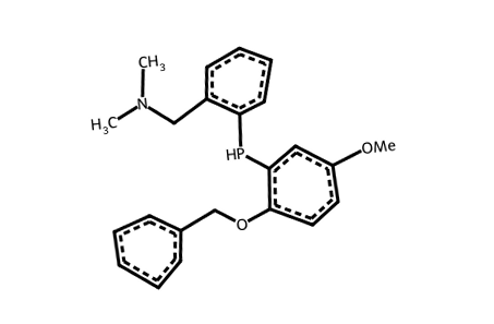 COc1ccc(OCc2ccccc2)c(Pc2ccccc2CN(C)C)c1